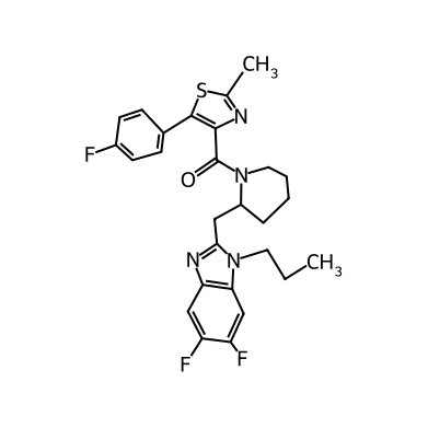 CCCn1c(CC2CCCCN2C(=O)c2nc(C)sc2-c2ccc(F)cc2)nc2cc(F)c(F)cc21